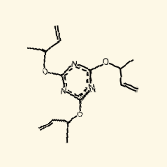 C=CC(C)Oc1nc(OC(C)C=C)nc(OC(C)C=C)n1